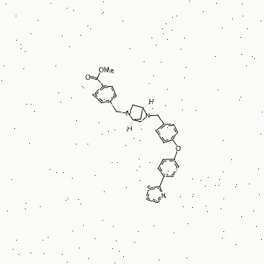 COC(=O)c1ccc(CN2C[C@@H]3C[C@H]2CN3Cc2ccc(Oc3ccc(-c4nccs4)cc3)cc2)cc1